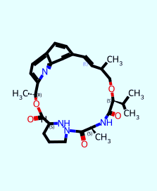 CC1/C=C/c2ccc3ccc(nc3c2)[C@@H](C)OC(=O)[C@@H]2CCCN(N2)C(=O)[C@H](C)NC(=O)[C@H](C(C)C)OC1